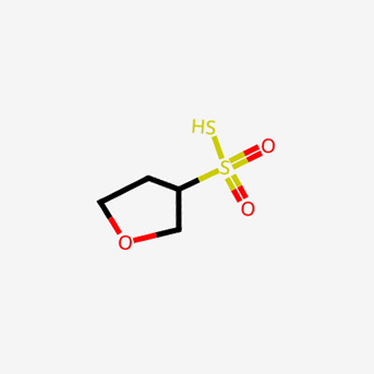 O=S(=O)(S)C1CCOC1